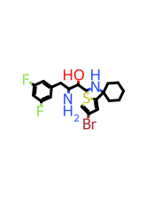 NC(Cc1cc(F)cc(F)c1)C(O)CNC1(c2cc(Br)cs2)CCCCC1